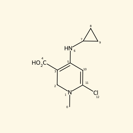 CN1CC(C(=O)O)=C(NC2CC2)C=C1Cl